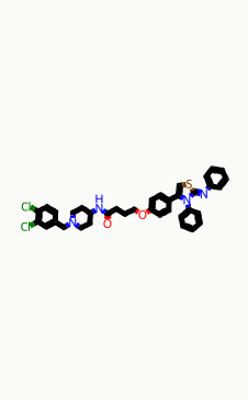 O=C(CCCOc1ccc(-c2csc(=Nc3ccccc3)n2-c2ccccc2)cc1)NC1CCN(Cc2ccc(Cl)c(Cl)c2)CC1